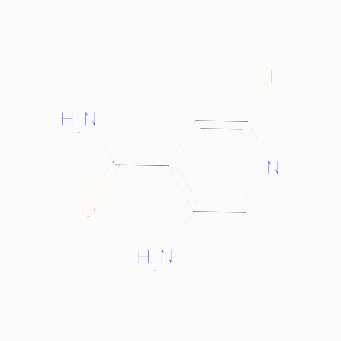 NC(=O)c1cc(F)ncc1N